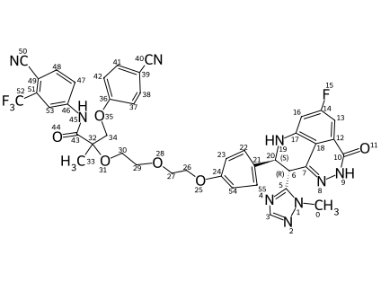 Cn1ncnc1[C@H]1c2n[nH]c(=O)c3cc(F)cc(c23)N[C@@H]1c1ccc(OCCOCCOC(C)(COc2ccc(C#N)cc2)C(=O)Nc2ccc(C#N)c(C(F)(F)F)c2)cc1